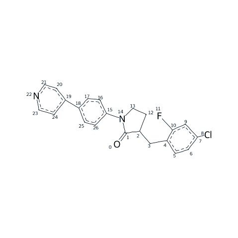 O=C1C(Cc2ccc(Cl)cc2F)CCN1c1ccc(-c2ccncc2)cc1